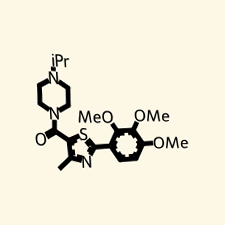 COc1ccc(-c2nc(C)c(C(=O)N3CCN(C(C)C)CC3)s2)c(OC)c1OC